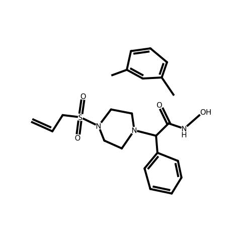 C=CCS(=O)(=O)N1CCN(C(C(=O)NO)c2ccccc2)CC1.Cc1cccc(C)c1